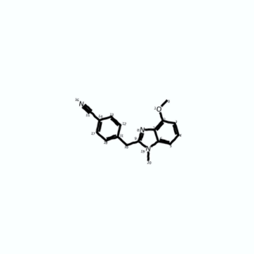 COc1cccc2c1nc(Cc1ccc(C#N)cc1)n2C